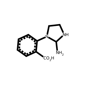 NC1NCCN1c1ccccc1C(=O)O